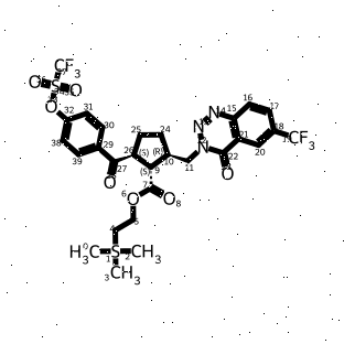 CS(C)(C)CCOC(=O)[C@H]1[C@H](Cn2nnc3ccc(C(F)(F)F)cc3c2=O)CC[C@@H]1C(=O)c1ccc(OS(=O)(=O)C(F)(F)F)cc1